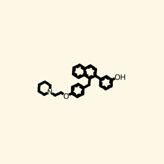 Oc1cccc(-c2ccc3ccccc3c2Cc2ccc(OCCN3CCCCC3)cc2)c1